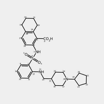 O=C(O)c1c(NS(=O)(=O)c2ccccc2NCC2CCN(C3CCCC3)CC2)ccc2c1CCCC2